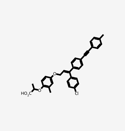 Cc1ccc(C#Cc2ccc(C(=CCOc3ccc(OC(C)C(=O)O)c(C)c3)c3ccc(Cl)cc3)cc2)cc1